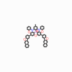 Cc1cc2c3c(c1)N1c4ccccc4Oc4c(-c5ccc6oc7cc8ccccc8cc7c6c5)cc5c(c41)P3(=O)c1c(cc(-c3ccc4oc6cc7ccccc7cc6c4c3)c3c1N2c1ccccc1O3)O5